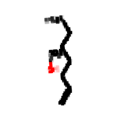 C=CCCCCCCCCCCC.O=S(=O)(O)O